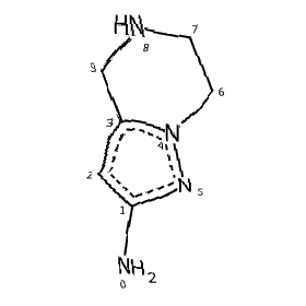 Nc1cc2n(n1)CCNC2